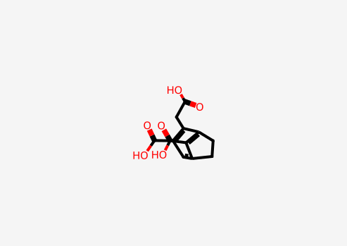 O=C(O)Cc1c(C(=O)O)cc2c(C(=O)O)c1CC2